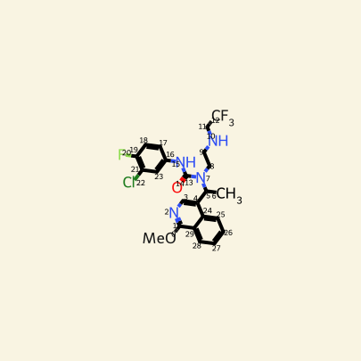 COc1ncc(C(C)N(CCNCC(F)(F)F)C(=O)Nc2ccc(F)c(Cl)c2)c2ccccc12